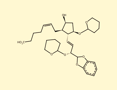 O=C(O)CCC/C=C\C[C@@H]1[C@@H](/C=C/[C@@H](OC2CCCCO2)C2Oc3ccccc3O2)[C@H](OC2CCCCO2)C[C@@H]1O